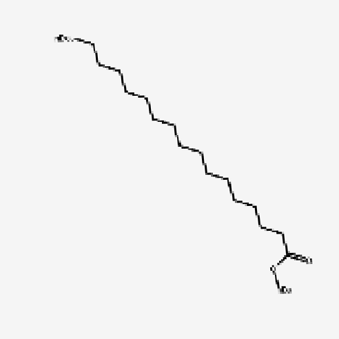 CCCCCCCCCCCCCCCCCCCCCCCCCC(=O)OCCCC